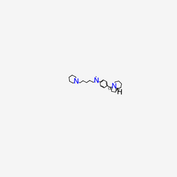 CN(CCCCCN1CCCCC1)c1ccc([C@@H]2CC[C@H]3CCCCN32)cc1